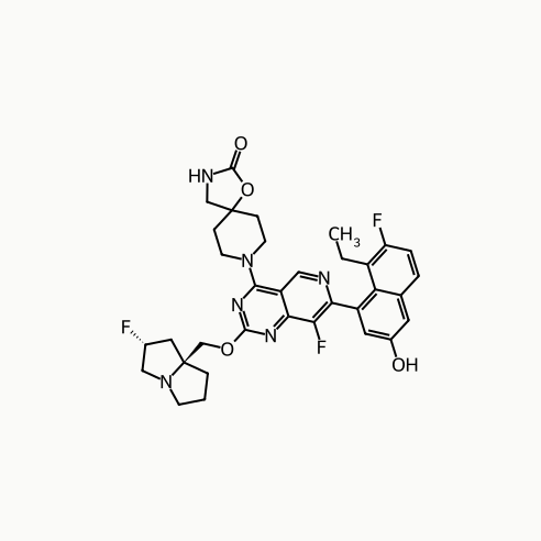 CCc1c(F)ccc2cc(O)cc(-c3ncc4c(N5CCC6(CC5)CNC(=O)O6)nc(OC[C@@]56CCCN5C[C@H](F)C6)nc4c3F)c12